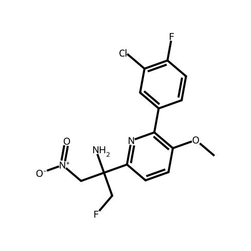 COc1ccc(C(N)(CF)C[N+](=O)[O-])nc1-c1ccc(F)c(Cl)c1